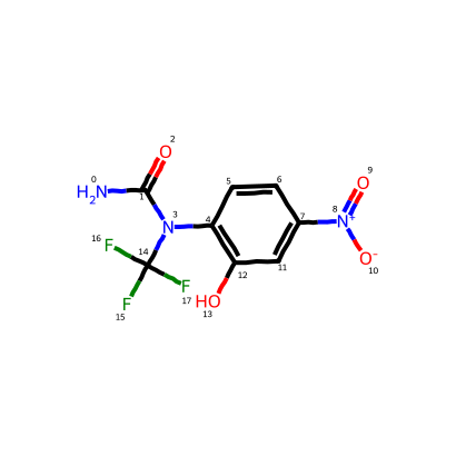 NC(=O)N(c1ccc([N+](=O)[O-])cc1O)C(F)(F)F